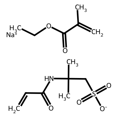 C=C(C)C(=O)OCC.C=CC(=O)NC(C)(C)CS(=O)(=O)[O-].[Na+]